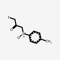 Cc1ccc([S@@+]([O-])CC(=O)CF)cc1